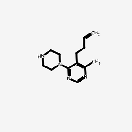 C=CCCc1c(C)ncnc1N1CCNCC1